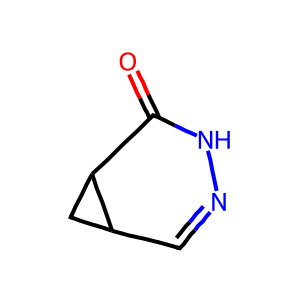 O=C1NN=CC2CC12